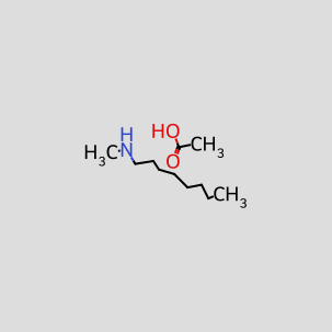 CC(=O)O.CCCCCCCCNC